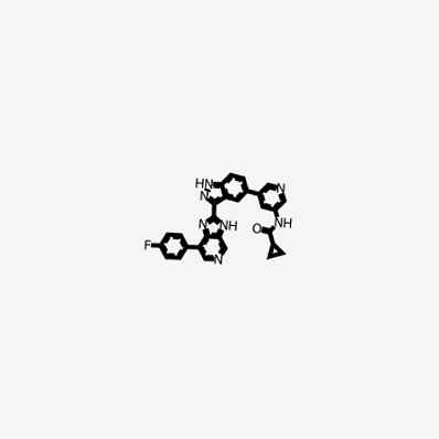 O=C(Nc1cncc(-c2ccc3[nH]nc(-c4nc5c(-c6ccc(F)cc6)cncc5[nH]4)c3c2)c1)C1CC1